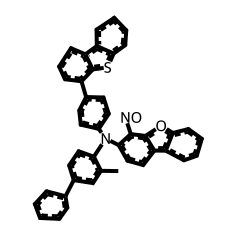 Cc1cc(-c2ccccc2)ccc1N(c1ccc(-c2cccc3c2sc2ccccc23)cc1)c1ccc2c(oc3ccccc32)c1N=O